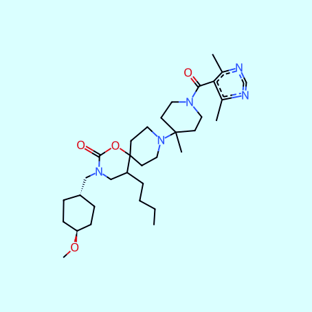 CCCCC1CN(C[C@H]2CC[C@H](OC)CC2)C(=O)OC12CCN(C1(C)CCN(C(=O)c3c(C)ncnc3C)CC1)CC2